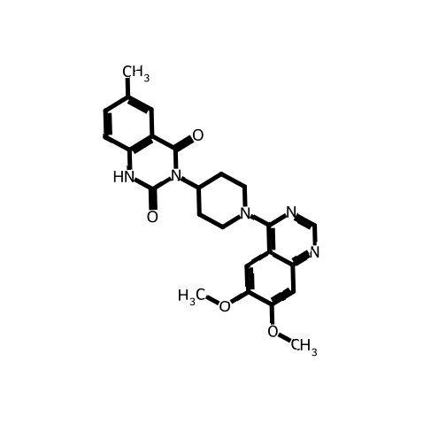 COc1cc2ncnc(N3CCC(n4c(=O)[nH]c5ccc(C)cc5c4=O)CC3)c2cc1OC